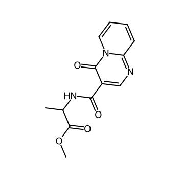 COC(=O)C(C)NC(=O)c1cnc2ccccn2c1=O